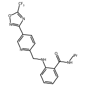 CC(C)NC(=O)c1ccccc1NCc1ccc(-c2noc(C(F)(F)F)n2)cn1